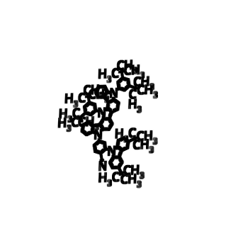 CC(C)(C)c1cc(-n2c3ccccc3c3c2ccc2c4ccc5c(c6ccccc6n5-c5ccc(C#N)c(-n6c7ccc(C(C)(C)C)cc7c7cc(C(C)(C)C)ccc76)c5)c4n(-c4cc(C(C)(C)C)cc(C(C)(C)C)c4)c23)cc(C(C)(C)C)c1